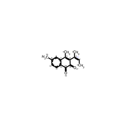 C/C=C(/C)C1=C(C)c2cc(C)ccc2C(=O)C1=O